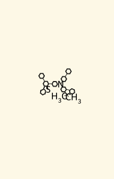 CC1(C)c2ccccc2-c2cc(N(c3ccc(-c4ccccc4)cc3)c3ccc(-c4cc(-c5ccccc5)cc5c4sc4ccccc45)cc3)ccc21